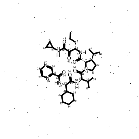 CCC[C@H](NC(=O)[C@@H]1[C@@H](C(C)C)CCN1C(=O)[C@@H](NC(=O)[C@@H](NC(=O)c1cnccn1)C1CCCCC1)C(C)C)C(=O)C(=O)NC1CC1